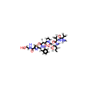 CC[C@H](C)[C@@H]([C@@H](CC(=O)N1CCC[C@H]1[C@H](OC)[C@@H](C)C(=O)N[C@@H](Cc1ccccc1)c1nc(C(=O)NCCO)cs1)OC)N(C)C(=O)[C@@H](NC(=O)C(C(C)C)N(C)C)C(C)C